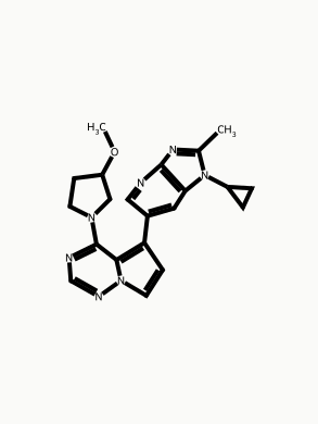 COC1CCN(c2ncnn3ccc(-c4cnc5nc(C)n(C6CC6)c5c4)c23)C1